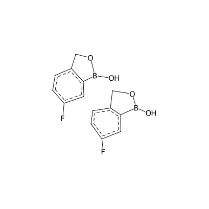 OB1OCc2ccc(F)cc21.OB1OCc2ccc(F)cc21